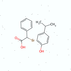 CC(C)c1ccc(O)cc1.O=C(O)C(Br)c1ccccc1